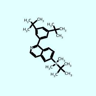 CC(C)(C)c1cc(-c2nccc3cc(S(C)(C)C(C)(C)C)ccc23)cc(C(C)(C)C)c1